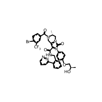 C[C@@H]1Cn2c(c(C(=O)NCc3ccccc3-c3cccnn3)n(-c3ccc(OC[C@@H](C)O)cc3)c2=O)CN1C(=O)c1ccc(Br)c(C(F)(F)F)c1